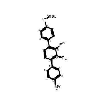 CCCCOc1ccc(-c2ccc(-c3ccc(CCC)cc3)c(F)c2F)cc1